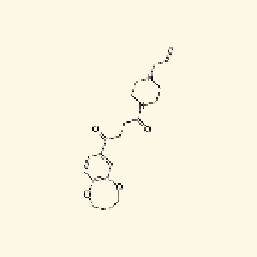 C=CCN1CCN(C(=O)CCC(=O)c2ccc3c(c2)OCCCO3)CC1